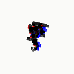 CCOc1ccc(NC(=O)Nc2cc(C(F)(F)F)on2)c([N+](=O)[O-])c1.COCCOc1ccc(NC(=O)Nc2nnc(C(F)(F)F)s2)c(OC)c1.COc1cc(OC)c(NC(=O)Nc2ccc(C#N)nc2)cc1F.COc1ccc(NC(=O)Nc2nnc(C(F)(F)F)s2)c(C)c1